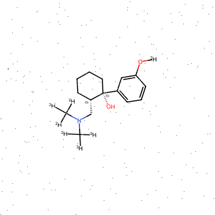 [2H]Oc1cccc([C@]2(O)CCCC[C@H]2CN(C([2H])([2H])[2H])C([2H])([2H])[2H])c1